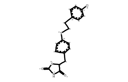 O=C1NC(=O)C(Cc2ccc(SCCc3ccc(Cl)cc3)cc2)S1